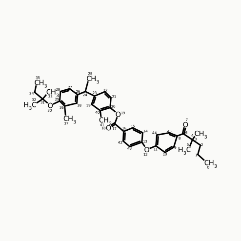 CCCC(C)(C)C(=O)c1ccc(Oc2ccc(C(=O)Oc3ccc(C(C)c4ccc(OC(C)(C)CC)c(C)c4)cc3C)cc2)cc1